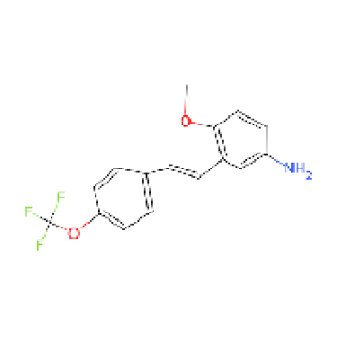 COc1ccc(N)cc1/C=C/c1ccc(OC(F)(F)F)cc1